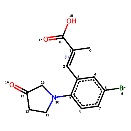 C/C(=C\c1cc(Br)ccc1N1CCC(=O)C1)C(=O)O